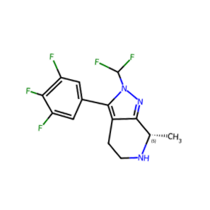 C[C@@H]1NCCc2c1nn(C(F)F)c2-c1cc(F)c(F)c(F)c1